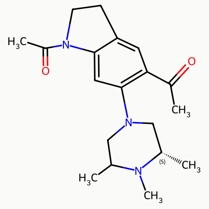 CC(=O)c1cc2c(cc1N1CC(C)N(C)[C@@H](C)C1)N(C(C)=O)CC2